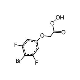 O=C(COc1cc(F)c(Br)c(F)c1)OO